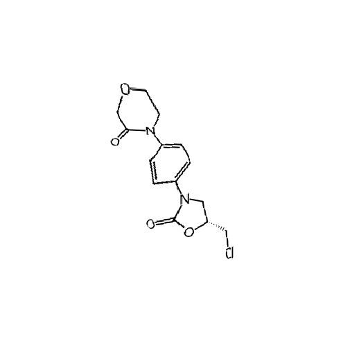 O=C1COCCN1c1ccc(N2C[C@H](CCl)OC2=O)cc1